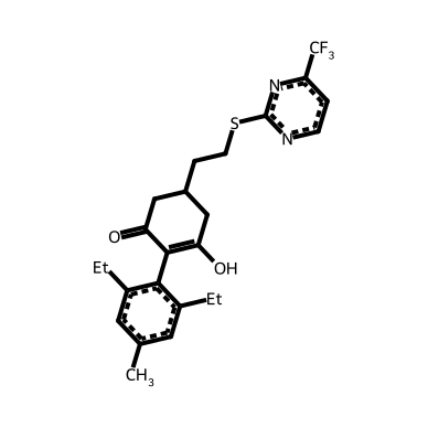 CCc1cc(C)cc(CC)c1C1=C(O)CC(CCSc2nccc(C(F)(F)F)n2)CC1=O